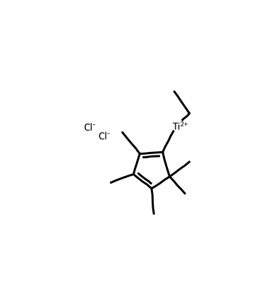 C[CH2][Ti+2][C]1=C(C)C(C)=C(C)C1(C)C.[Cl-].[Cl-]